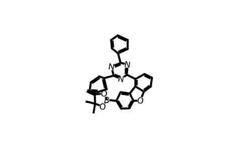 C=C1OB(c2ccc3oc4cccc(-c5nc(-c6ccccc6)nc(-c6ccccc6)n5)c4c3c2)OC1(C)C